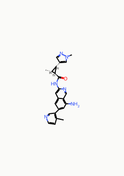 Cc1ccncc1-c1cc(N)c2cnc(NC(=O)[C@H]3[C@H](C)[C@@H]3c3cnn(C)c3)cc2c1